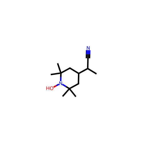 CC(C#N)C1CC(C)(C)N(O)C(C)(C)C1